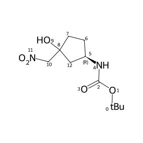 CC(C)(C)OC(=O)N[C@@H]1CCC(O)(C[N+](=O)[O-])C1